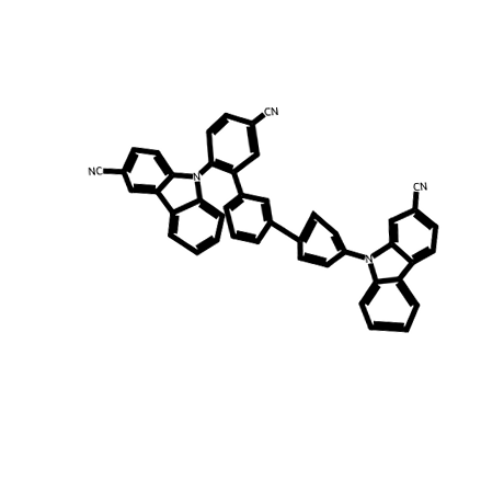 N#Cc1ccc(-n2c3ccccc3c3cc(C#N)ccc32)c(-c2cccc(-c3ccc(-n4c5ccccc5c5ccc(C#N)cc54)cc3)c2)c1